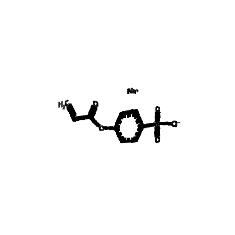 C=CC(=O)Oc1ccc(S(=O)(=O)[O-])cc1.[Na+]